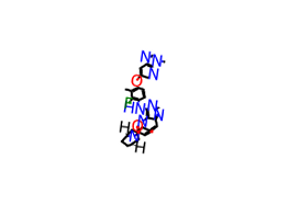 C=CC(=O)N1[C@@H]2CC[C@H]1CC(c1ccc3ncnc(Nc4ccc(Oc5cnc6c(c5)ncn6C)c(C)c4F)c3n1)C2